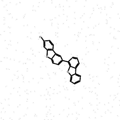 Clc1ccc2c(c1)oc1ccc(-c3cccc4c3oc3ccccc34)cc12